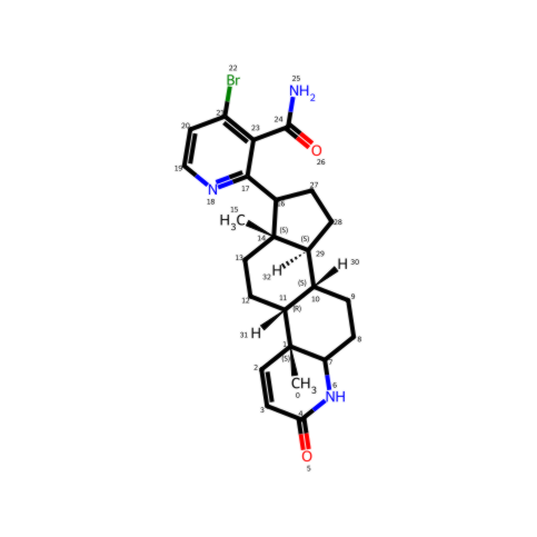 C[C@]12C=CC(=O)NC1CC[C@@H]1[C@H]2CC[C@]2(C)C(c3nccc(Br)c3C(N)=O)CC[C@@H]12